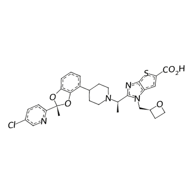 C[C@H](c1nc2sc(C(=O)O)cc2n1C[C@@H]1CCO1)N1CCC(c2cccc3c2O[C@](C)(c2ccc(Cl)cn2)O3)CC1